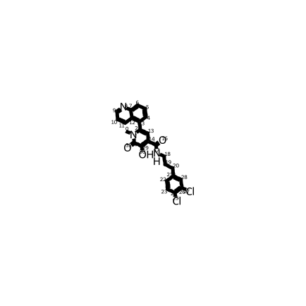 Cn1c(-c2cccc3ncccc23)cc(C(=O)NCCCc2ccc(Cl)c(Cl)c2)c(O)c1=O